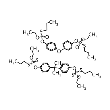 CCCSP(=O)(OCC)Oc1ccc(Oc2ccc(OP(=O)(OCC)SCCC)cc2)cc1.CCCSP(=S)(OCC)Oc1ccc(C(C)(C)c2ccc(OP(=S)(OCC)SCCC)cc2)cc1